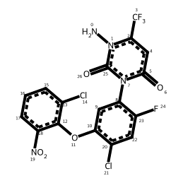 Nn1c(C(F)(F)F)cc(=O)n(-c2cc(Oc3c(Cl)cccc3[N+](=O)[O-])c(Cl)cc2F)c1=O